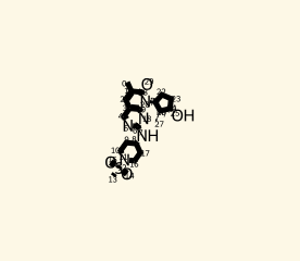 Cc1cc2cnc(NC3CCN(S(C)(=O)=O)CC3)nc2n([C@H]2CC[C@H](O)[C@@H]2C)c1=O